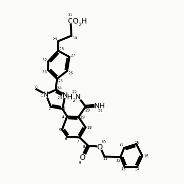 Cn1cc(-c2ccc(C(=O)OCc3ccccc3)cc2C(=N)N)nc1-c1ccc(CCC(=O)O)cc1